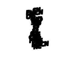 CCN1C(=C(C#N)C#N)S/C(=C/c2nc3c(s2)C2=CC4C=C5OC6(CCCCC6)c6nc(/C=c7\sc(=C(C#N)C#N)n(CC)c7=O)sc6C5=CC4C=C2OC32CCCCC2)C1O